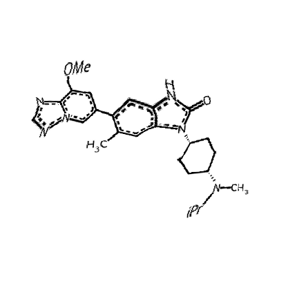 COc1cc(-c2cc3[nH]c(=O)n([C@H]4CC[C@@H](N(C)C(C)C)CC4)c3cc2C)cn2ncnc12